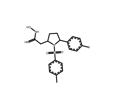 Cc1ccc(S(=O)(=O)N2C(CC(=N)NO)CCC2c2ccc(F)cc2)cc1